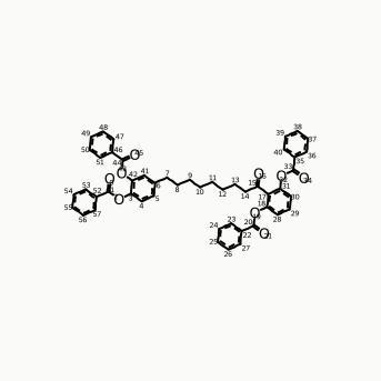 O=C(Oc1ccc(CCCCCCCCC(=O)c2c(OC(=O)c3ccccc3)cccc2OC(=O)c2ccccc2)cc1OC(=O)c1ccccc1)c1ccccc1